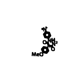 COc1ccc([C@@H](C(N)=O)C(=O)Nc2ccc(N(C)C)cc2)cc1